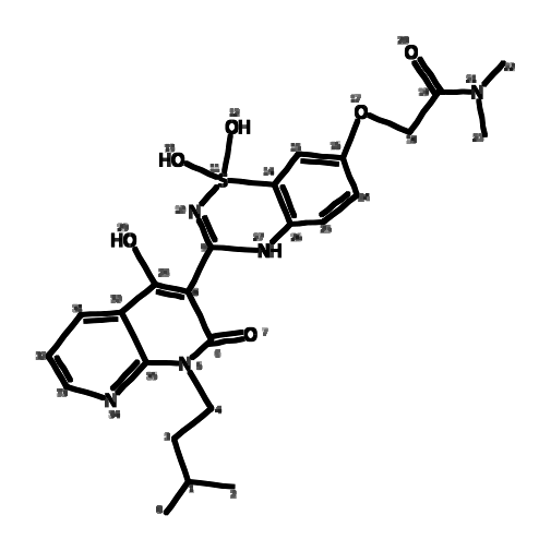 CC(C)CCn1c(=O)c(C2=NS(O)(O)c3cc(OCC(=O)N(C)C)ccc3N2)c(O)c2cccnc21